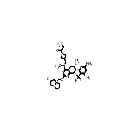 C=CC(=O)N1CC(CN(C)c2nc(OC[C@@]34CCCN3C[C@H](F)C4)nc3c2C[C@H](C)[C@@H](c2nc(N)cc(C)c2C(F)(F)F)C3)C1